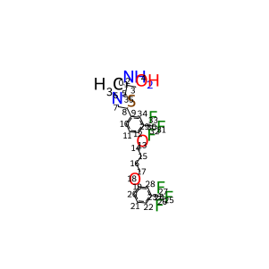 C[C@](N)(CO)C1=NCC(c2ccc(OCCCCOc3cccc(C(F)(F)F)c3)c(C(F)(F)F)c2)S1